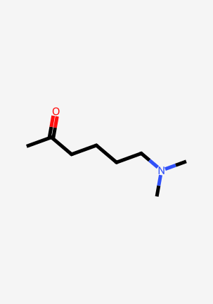 CC(=O)CCCCN(C)C